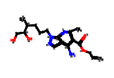 C=CCOC(=O)c1c(C)nc2c(cnn2CCCC(C)C(O)CO)c1N